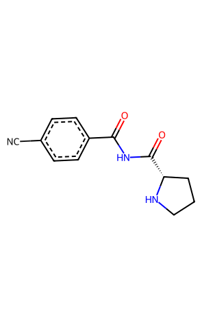 N#Cc1ccc(C(=O)NC(=O)[C@@H]2CCCN2)cc1